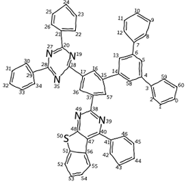 c1ccc(-c2cc(-c3ccccc3)cc(-c3cc(-c4nc(-c5ccccc5)nc(-c5ccccc5)n4)cc(-c4nc(-c5ccccc5)c5c(n4)sc4ccccc45)c3)c2)cc1